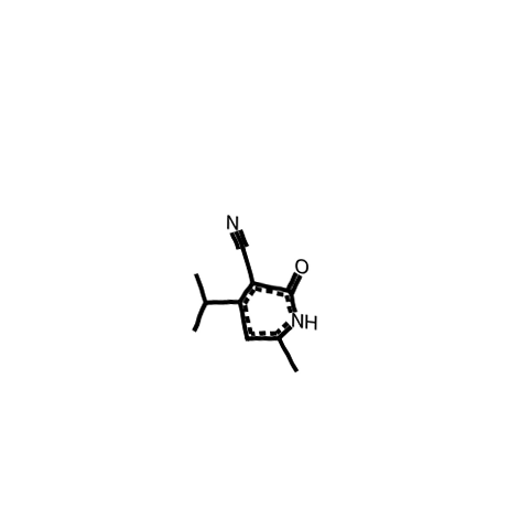 Cc1cc(C(C)C)c(C#N)c(=O)[nH]1